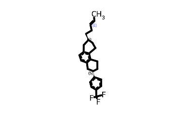 C/C=C/CC[C@H]1CCc2c(ccc3c2CC[C@H](c2ccc(C(F)(F)F)cc2)C3)C1